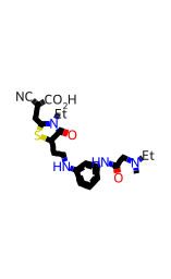 CCN(C)CC(=O)Nc1cccc(NCCC2SC(CC(C#N)C(=O)O)N(CC)C2=O)c1